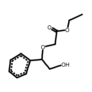 CCOC(=O)COC(CO)c1ccccc1